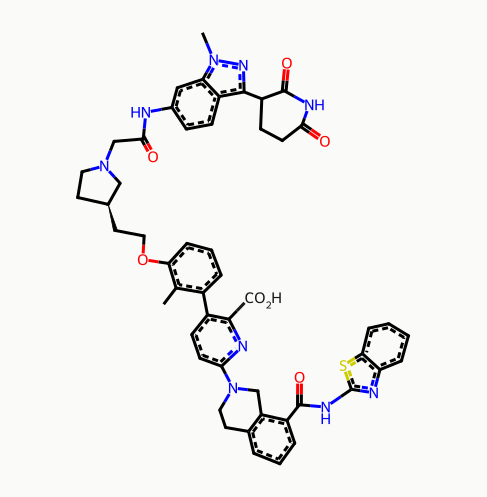 Cc1c(OCC[C@H]2CCN(CC(=O)Nc3ccc4c(C5CCC(=O)NC5=O)nn(C)c4c3)C2)cccc1-c1ccc(N2CCc3cccc(C(=O)Nc4nc5ccccc5s4)c3C2)nc1C(=O)O